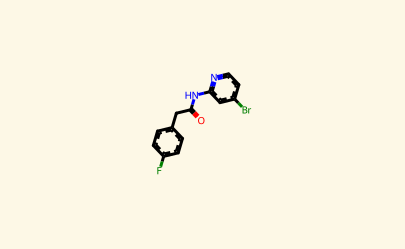 O=C(Cc1ccc(F)cc1)Nc1cc(Br)ccn1